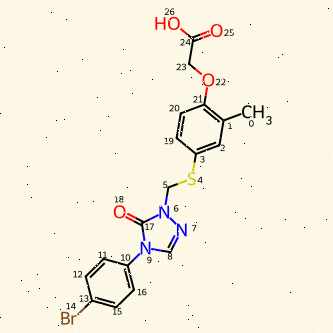 Cc1cc(SCn2ncn(-c3ccc(Br)cc3)c2=O)ccc1OCC(=O)O